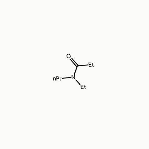 CCCN(CC)C(=O)CC